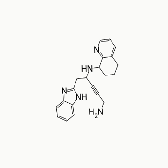 NCC#CC(Cc1nc2ccccc2[nH]1)NC1CCCc2cccnc21